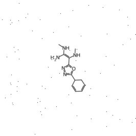 CN/C(N)=C(\NC)c1nnc(C2C=CC=CC2)o1